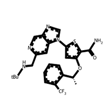 C[C@@H](Oc1cc(-n2cnc3cnc(CNC(C)(C)C)cc32)sc1C(N)=O)c1ccccc1C(F)(F)F